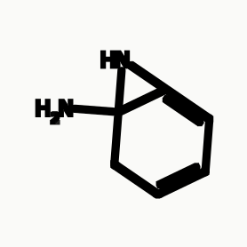 NC12CC=CC=C1N2